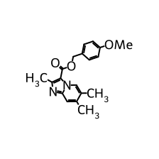 COc1ccc(COC(=O)c2c(C)nc3cc(C)c(C)cn23)cc1